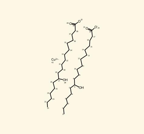 CCCCCCC(O)CCCCCCCCCCC(=O)[O-].CCCCCCC(O)CCCCCCCCCCC(=O)[O-].[Cu+2]